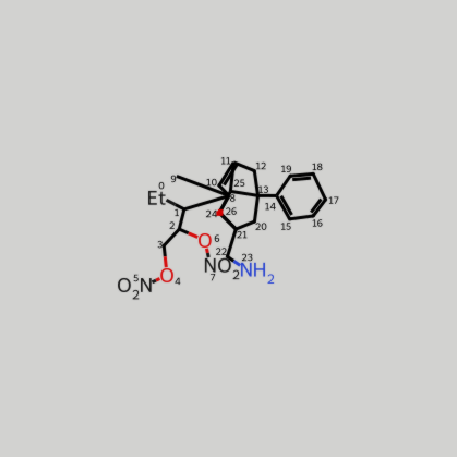 CCC(C(CO[N+](=O)[O-])O[N+](=O)[O-])C1(C)C=C2CC3(c4ccccc4)CC(CN)(CC23)C1